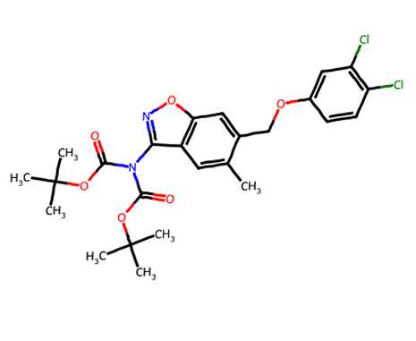 Cc1cc2c(N(C(=O)OC(C)(C)C)C(=O)OC(C)(C)C)noc2cc1COc1ccc(Cl)c(Cl)c1